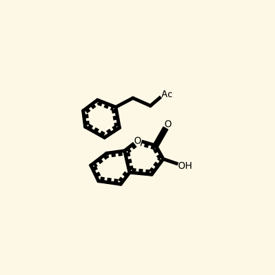 CC(=O)CCc1ccccc1.O=c1oc2ccccc2cc1O